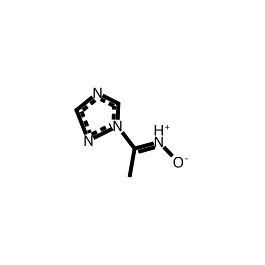 CC(=[NH+][O-])n1cncn1